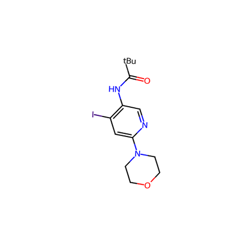 CC(C)(C)C(=O)Nc1cnc(N2CCOCC2)cc1I